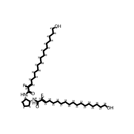 O=C(N[C@H]1CCC[C@H]1NC(=O)/C(F)=C/CCCCCCCCCCCCCCCO)/C(F)=C/CCCCCCCCCCCCCCCO